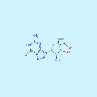 CO[C@]1(CO)O[C@@H](n2cnc3c(=O)[nH]c(N)nc32)[C@H](N)[C@@H]1O